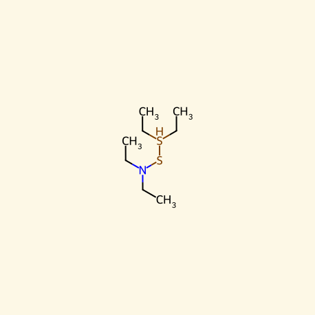 CCN(CC)S[SH](CC)CC